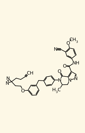 C#CCCC1(CCOc2cccc(Cc3ccc(N4C(=O)c5c(C(=O)Nc6ccc(OC)c(C#N)c6)cnn5CC4C)cc3)c2)N=N1